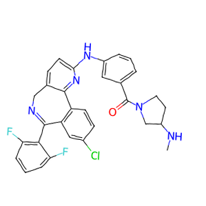 CNC1CCN(C(=O)c2cccc(Nc3ccc4c(n3)-c3ccc(Cl)cc3C(c3c(F)cccc3F)=NC4)c2)C1